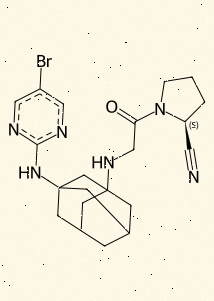 N#C[C@@H]1CCCN1C(=O)CNC12CC3CC(C1)CC(Nc1ncc(Br)cn1)(C3)C2